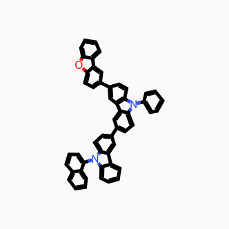 c1ccc(-n2c3ccc(-c4ccc5oc6ccccc6c5c4)cc3c3cc(-c4ccc5c(c4)c4ccccc4n5-c4cccc5ccccc45)ccc32)cc1